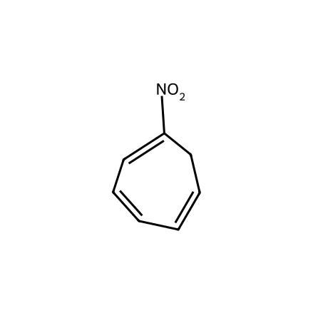 O=[N+]([O-])C1=CC=CC=CC1